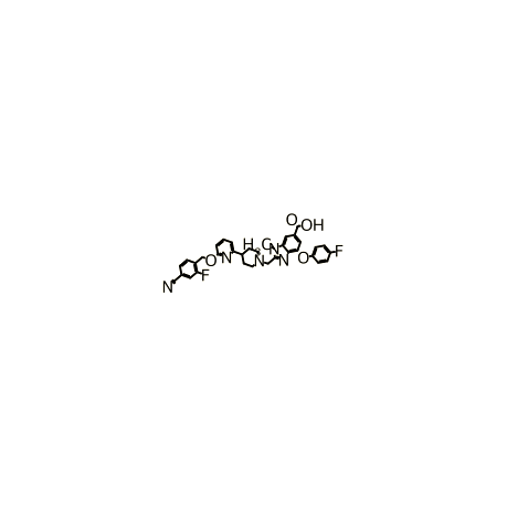 Cn1c(CN2CCC(c3cccc(OCc4ccc(C#N)cc4F)n3)CC2)nc2c(Oc3ccc(F)cc3)cc(C(=O)O)cc21